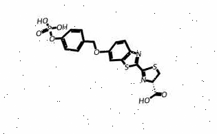 O=C(O)[C@H]1CSC(c2nc3ccc(OCc4ccc(OP(=O)(O)O)cc4)cc3s2)=N1